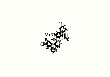 C=CC(=O)Nc1cc(Nc2cc(N3OCCC3c3ccc(F)c(Cl)c3F)ncn2)c(OC)cc1N1C[C@@H](C)O[C@@H](C)C1